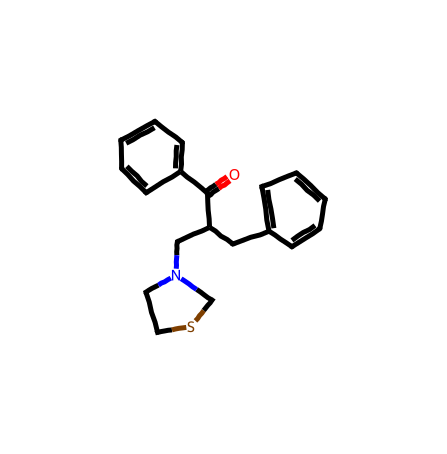 O=C(c1ccccc1)C(Cc1ccccc1)CN1CCSC1